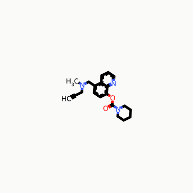 C#CCN(C)Cc1ccc(OC(=O)N2CCCCC2)c2ncccc12